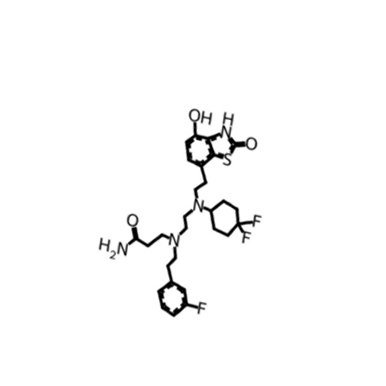 NC(=O)CCN(CCc1cccc(F)c1)CCN(CCc1ccc(O)c2[nH]c(=O)sc12)C1CCC(F)(F)CC1